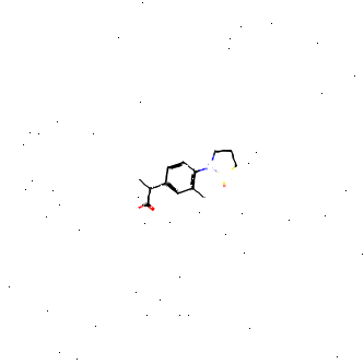 Cc1cc(C(C)C(=O)O)ccc1N1CCC[S+]1[O-]